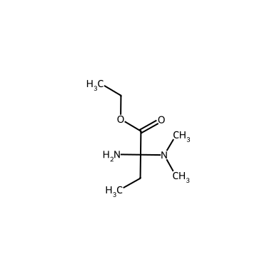 CCOC(=O)C(N)(CC)N(C)C